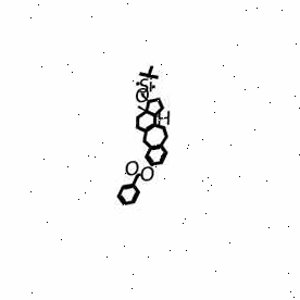 CC(C)(C)[Si](C)(C)O[C@H]1CC[C@H]2C3=C(CC[C@]12C)Cc1cc(OC(=O)c2ccccc2)ccc1CC3